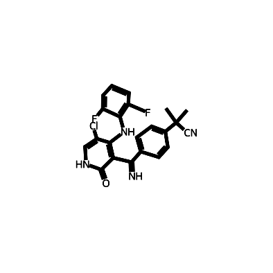 CC(C)(C#N)c1ccc(C(=N)c2c(Nc3c(F)cccc3F)c(Cl)c[nH]c2=O)cc1